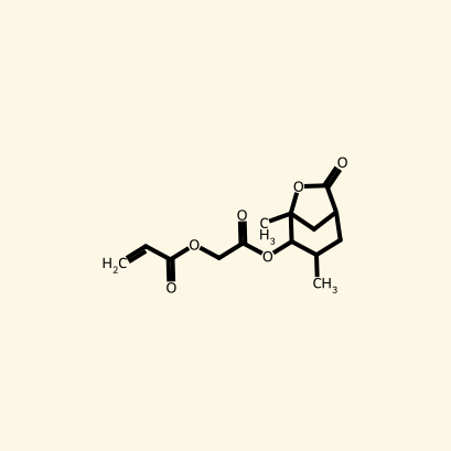 C=CC(=O)OCC(=O)OC1C(C)CC2CC1(C)OC2=O